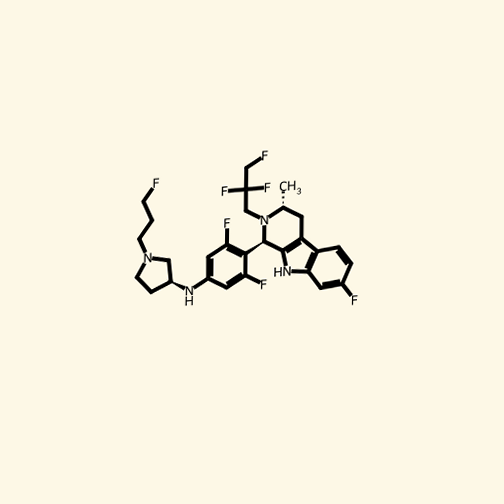 C[C@@H]1Cc2c([nH]c3cc(F)ccc23)[C@@H](c2c(F)cc(N[C@H]3CCN(CCCF)C3)cc2F)N1CC(F)(F)CF